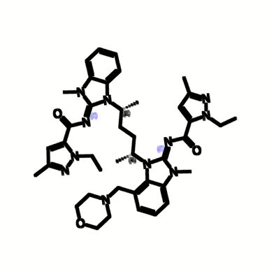 CCn1nc(C)cc1C(=O)/N=c1\n(C)c2ccccc2n1[C@H](C)CC[C@@H](C)n1/c(=N/C(=O)c2cc(C)nn2CC)n(C)c2cccc(CN3CCOCC3)c21